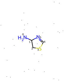 NC1CSC=N1